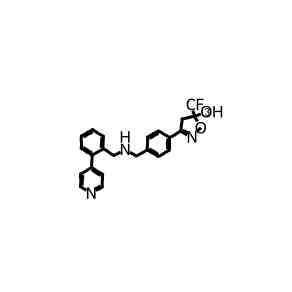 OC1(C(F)(F)F)CC(c2ccc(CNCc3ccccc3-c3ccncc3)cc2)=NO1